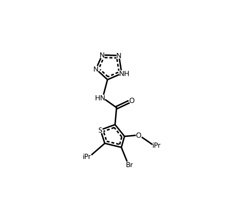 CC(C)Oc1c(C(=O)Nc2nnn[nH]2)sc(C(C)C)c1Br